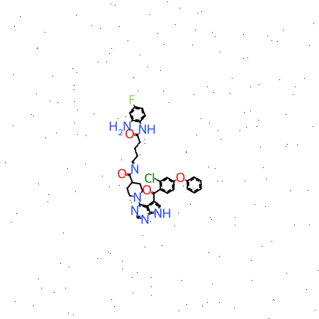 Nc1cc(F)ccc1NC(=O)CCCC=NC(=O)C1CCN(c2ncnc3[nH]cc(C(=O)c4ccc(Oc5ccccc5)cc4Cl)c23)CC1